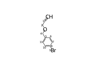 C#CCOCc1ccc(Br)cc1